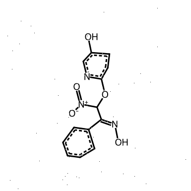 O=[N+]([O-])C(Oc1ccc(O)cn1)C(=NO)c1ccccc1